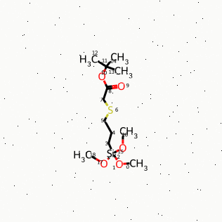 CO[Si](CCCSCC(=O)OC(C)(C)C)(OC)OC